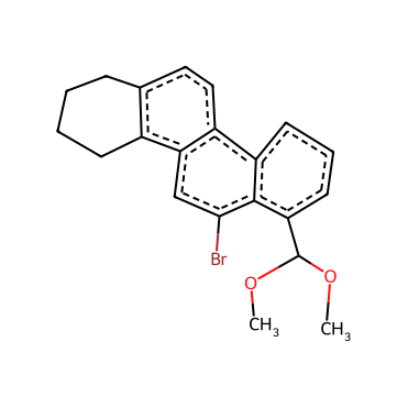 COC(OC)c1cccc2c1c(Br)cc1c3c(ccc12)CCCC3